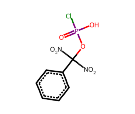 O=[N+]([O-])C(OP(=O)(O)Cl)(c1ccccc1)[N+](=O)[O-]